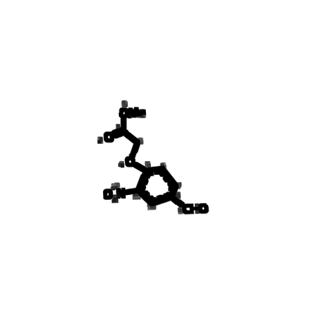 COC(=O)COc1ccc(C=O)cc1[N+](=O)[O-]